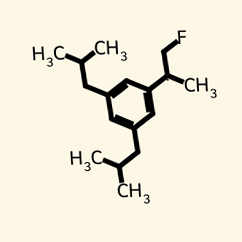 C[C](CF)c1cc(CC(C)C)cc(CC(C)C)c1